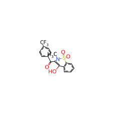 CN1C(C(=O)c2ccc(C(F)(F)F)cc2)=C(O)c2ccccc2S1(=O)=O